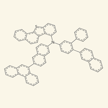 c1ccc(-c2cc(N(c3ccc4cc(-c5cc6ccccc6c6ccccc56)ccc4c3)c3cccc4sc5c6ccccc6ccc5c34)ccc2-c2ccc3ccccc3c2)cc1